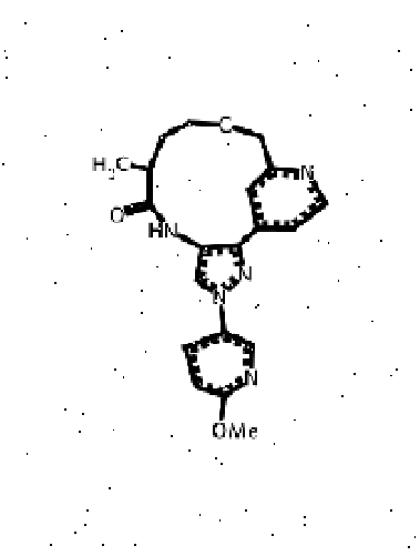 COc1ccc(-n2cc3c(n2)-c2ccnc(c2)CCCCC(C)C(=O)N3)cn1